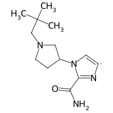 CC(C)(C)CN1CCC(n2c[c]nc2C(N)=O)C1